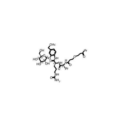 CC(=O)OCc1ccc(NC(=O)[C@H](CCCNC(N)=O)NC(=O)[C@@H](NC(=O)CCOCCC(=O)C(C)C)C(C)C)c(O[C@@H]2O[C@H](CO)[C@@H](O)[C@H](O)[C@H]2O)c1